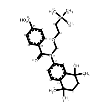 CC1(C)CCC(C)(O)c2cc(N(COCC[Si](C)(C)C)C(=O)c3ccc(C(=O)O)cc3)ccc21